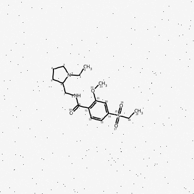 CCN1CCCC1CNC(=O)c1ccc(S(=O)(=O)CC)cc1OC